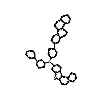 c1ccc(-c2cccc(N(c3ccc(-c4ccc5c(ccc6c7ccccc7ccc56)c4)cc3)c3ccc4c(c3)sc3ccc5ccccc5c34)c2)cc1